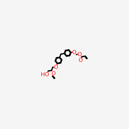 C=COC(CO)COc1ccc(Cc2ccc(OCOC(=O)C=C)cc2)cc1